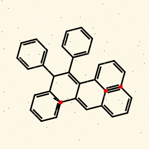 CC(C)C(=Cc1ccccc1)C(=C(c1ccccc1)C(c1ccccc1)c1ccccc1)c1ccccc1